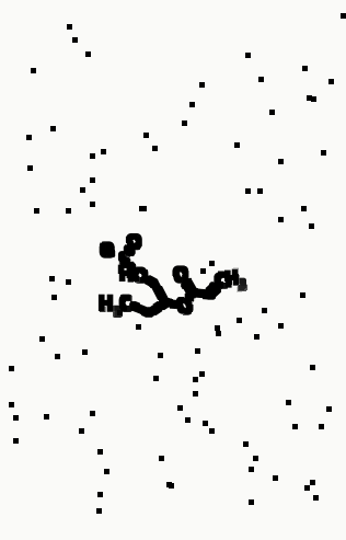 C=CC(=O)OC(CC)CO[SH](=O)=O